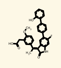 COc1ccc(C(C)=C2C(=O)Nc3cc(F)c(-c4ccc(-c5ccccc5O)cc4)cc32)cc1CC(=O)O